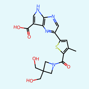 Cc1cc(-c2cnc3[nH]cc(C(=O)O)c3n2)sc1C(=O)N1CC(CO)(CO)C1